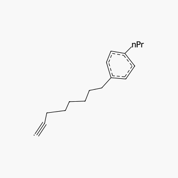 [C]#CCCCCCCc1ccc(CCC)cc1